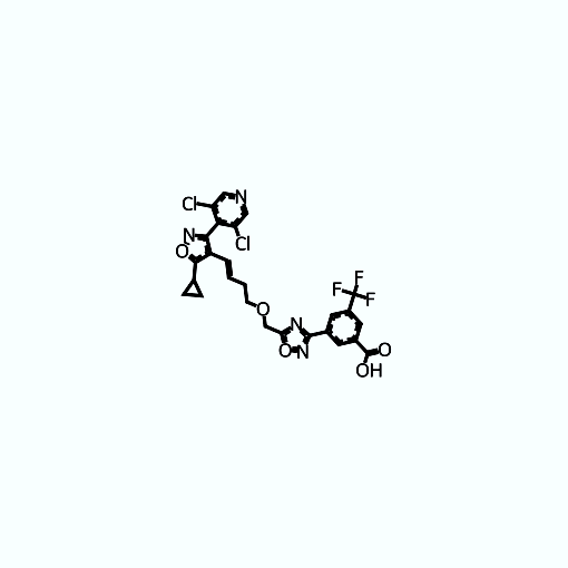 O=C(O)c1cc(-c2noc(COCC/C=C/c3c(-c4c(Cl)cncc4Cl)noc3C3CC3)n2)cc(C(F)(F)F)c1